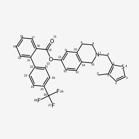 Cc1ccsc1CN1CCc2cc(OC(=O)c3ccccc3-c3ccc(C(F)(F)F)cc3)ccc2C1